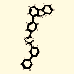 c1ccc(-c2cccc(-c3nnc(-c4ccc(-c5cccc6c5oc5ccccc56)cc4)o3)c2)cc1